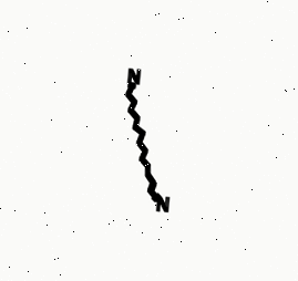 N#CC=CCCCCCCCCCCCC#N